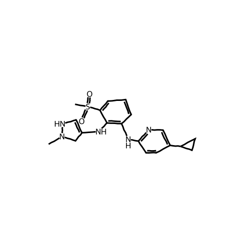 CN1CC(Nc2c(Nc3ccc(C4CC4)cn3)cccc2S(C)(=O)=O)=CN1